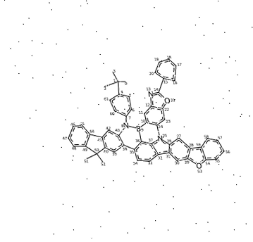 CC(C)(C)c1ccc(N2B3c4cc5nc(-c6ccccc6)oc5cc4-n4c5cc6c(cc5c5ccc(c3c54)-c3cc4c(cc32)-c2ccccc2C4(C)C)oc2ccccc26)cc1